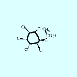 CC(=O)O.Cl[C@H]1[C@H](Cl)[C@@H](Cl)[C@@H](Cl)[C@H](Cl)[C@H]1Cl